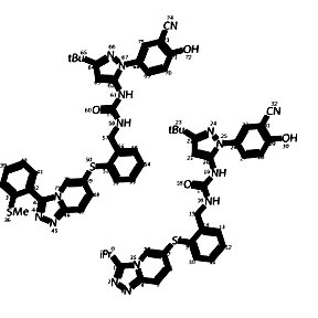 CC(C)c1nnc2ccc(Sc3ccccc3CNC(=O)Nc3cc(C(C)(C)C)nn3-c3ccc(O)c(C#N)c3)cn12.CSc1ccccc1-c1nnc2ccc(Sc3ccccc3CNC(=O)Nc3cc(C(C)(C)C)nn3-c3ccc(O)c(C#N)c3)cn12